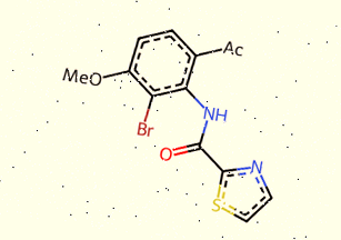 COc1ccc(C(C)=O)c(NC(=O)c2nccs2)c1Br